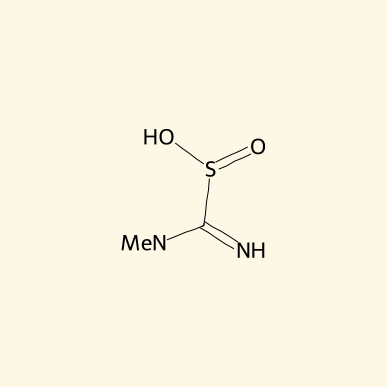 CNC(=N)S(=O)O